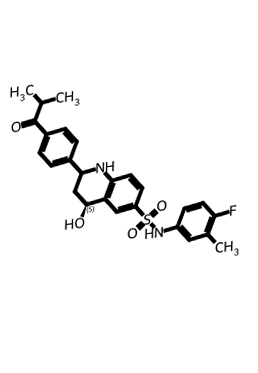 Cc1cc(NS(=O)(=O)c2ccc3c(c2)[C@@H](O)CC(c2ccc(C(=O)C(C)C)cc2)N3)ccc1F